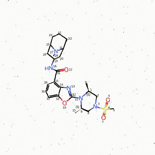 C[C@H]1CN(S(C)(=O)=O)C[C@H](C)N1c1nc2c(C(=O)NC3CC4CCCC(C3)N4C)cccc2o1